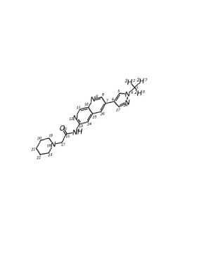 [2H]C([2H])([2H])n1cc(-c2cnc3cnc(NC(=O)CN4CCCCC4)cc3c2)cn1